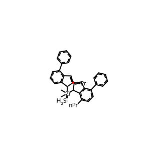 CCCc1ccc(-c2ccccc2)c2c1[CH]([Zr]([CH3])([CH3])(=[SiH2])[CH]1C(C(C)C)=Cc3c(-c4ccccc4)cccc31)C(C)=C2